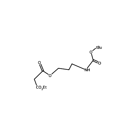 CCOC(=O)CC(=O)OCCCNC(=O)OC(C)(C)C